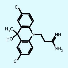 CC1(O)c2cc(Cl)ccc2N(CCC(=N)N)c2ccc(Cl)cc21